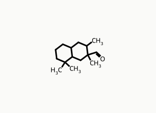 CC1CC2CCCC(C)(C)C2CC1(C)C=O